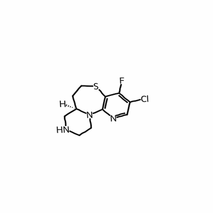 Fc1c(Cl)cnc2c1SCC[C@@H]1CNCCN21